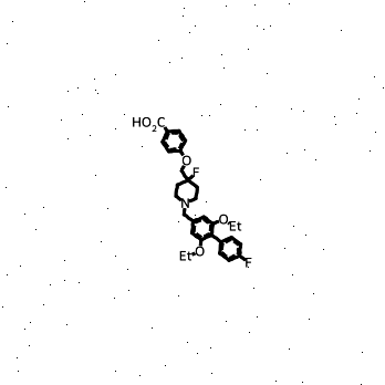 CCOc1cc(CN2CCC(F)(COc3ccc(C(=O)O)cc3)CC2)cc(OCC)c1-c1ccc(F)cc1